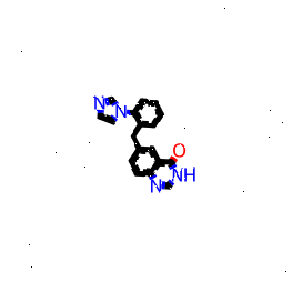 O=c1[nH]cnc2ccc(Cc3ccccc3-n3ccnc3)cc12